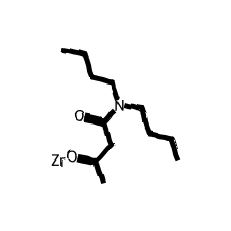 CCCCN(CCCC)C(=O)CC(C)=O.[Zr]